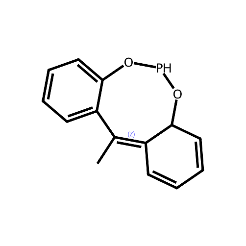 C/C1=C2\C=CC=CC2OPOc2ccccc21